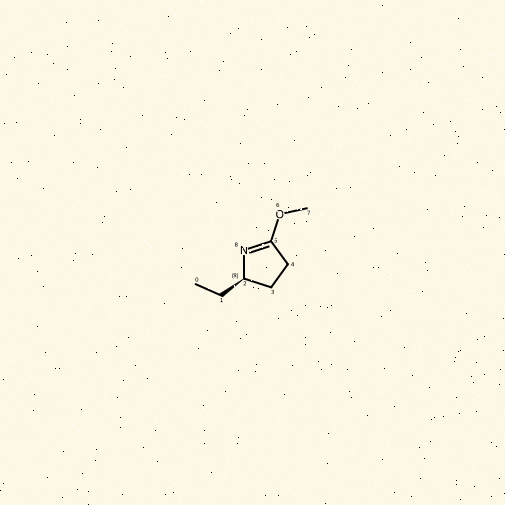 CC[C@@H]1CCC(OC)=N1